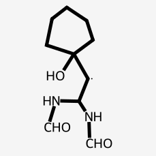 O=CNC([CH]C1(O)CCCCC1)NC=O